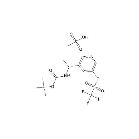 CC(NC(=O)OC(C)(C)C)c1cccc(OS(=O)(=O)C(F)(F)F)c1.CS(=O)(=O)O